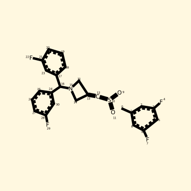 Cc1cc(F)cc(F)c1.O=S(=O)=C=C1CN(C(c2cccc(F)c2)c2cccc(F)c2)C1